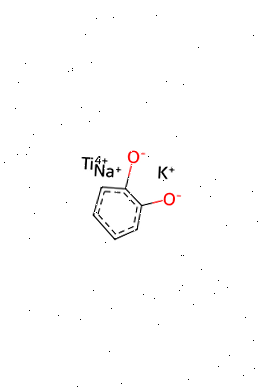 [K+].[Na+].[O-]c1ccccc1[O-].[Ti+4]